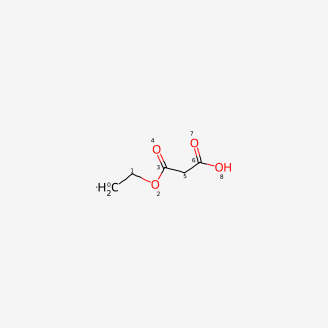 [CH2]COC(=O)CC(=O)O